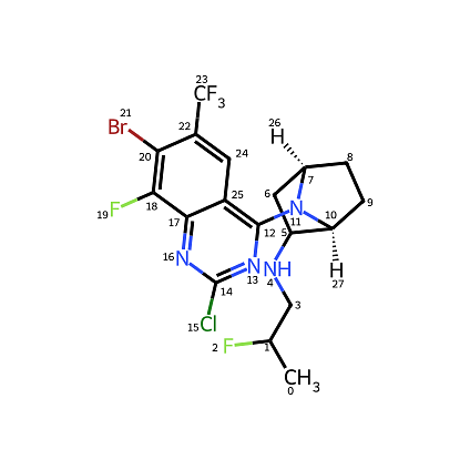 CC(F)CNC1C[C@H]2CC[C@@H]1N2c1nc(Cl)nc2c(F)c(Br)c(C(F)(F)F)cc12